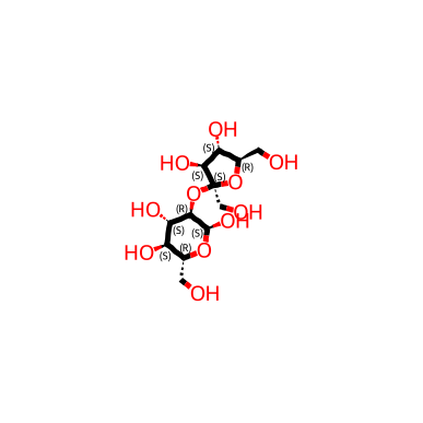 OC[C@H]1O[C@@](CO)(O[C@@H]2[C@@H](O)[C@H](O)[C@@H](CO)O[C@@H]2O)[C@@H](O)[C@@H]1O